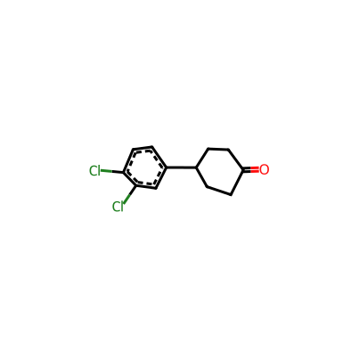 O=C1CCC(c2ccc(Cl)c(Cl)c2)CC1